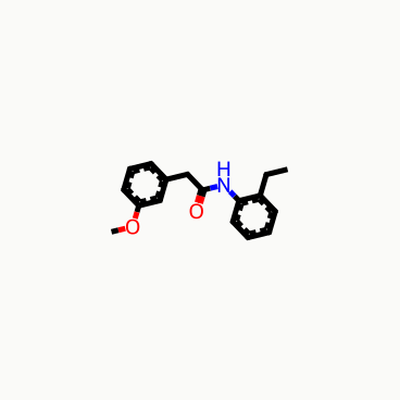 CCc1ccccc1NC(=O)Cc1cccc(OC)c1